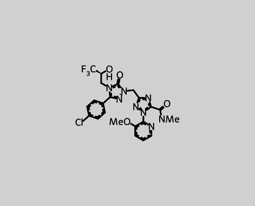 CNC(=O)c1nc(Cn2nc(-c3ccc(Cl)cc3)n(C[C@H](O)C(F)(F)F)c2=O)nn1-c1ncccc1OC